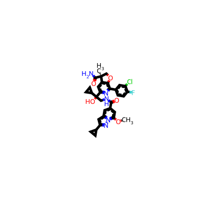 COc1cc(C(=O)NCC(O)(c2cc3c(c(-c4ccc(F)c(Cl)c4)n2)OC[C@]3(C)C(N)=O)C2CC2)cc2cc(C3CC3)nn12